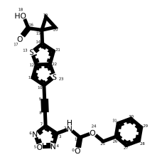 O=C(Nc1nonc1C#Cc1cc2sc(C3(C(=O)O)CC3)cc2s1)OCc1ccccc1